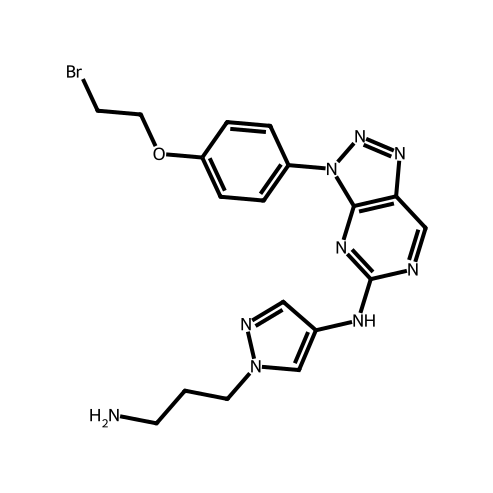 NCCCn1cc(Nc2ncc3nnn(-c4ccc(OCCBr)cc4)c3n2)cn1